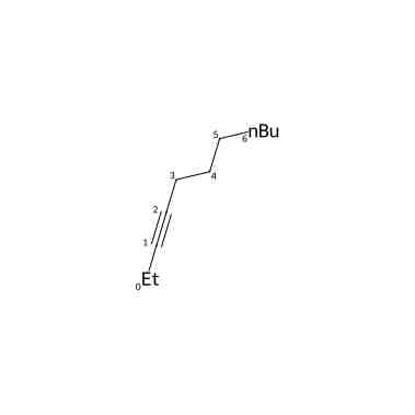 [CH2]CC#CCCCCCCC